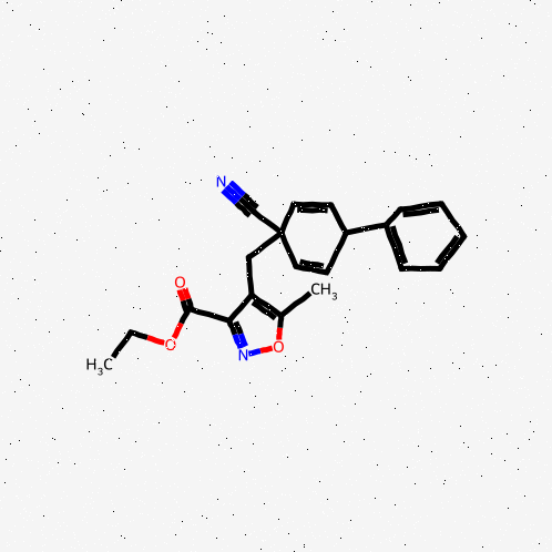 CCOC(=O)c1noc(C)c1CC1(C#N)C=CC(c2ccccc2)C=C1